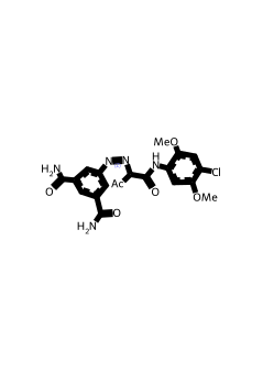 COc1cc(NC(=O)C(/N=N\c2cc(C(N)=O)cc(C(N)=O)c2)C(C)=O)c(OC)cc1Cl